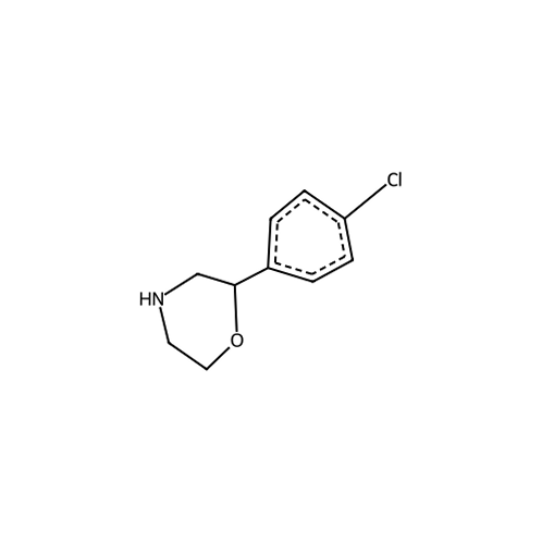 Clc1ccc(C2CNCCO2)cc1